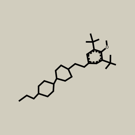 CCCC1CCC(C2CCC(CCc3cc(C(C)(C)C)c(OC)c(C(C)(C)C)c3)CC2)CC1